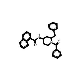 O=C(NC1CCN(C(=O)c2ccccc2)C(Cc2ccccc2)C1)c1cccc2ccccc12